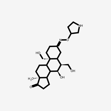 C[C@]12CCC3C(C1CCC2=O)[C@H](O)[C@H](CO)C1CC(=NOC2CCNC2)CC[C@]31CO